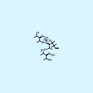 C=CC(C)(C)C(C)([SiH3])C(=NO)C(C)C(C)C.CC(C)C(C)C(=NO)C(C)C(C)C.CC(C)C(C)C(=NO)C(C)C(C)C